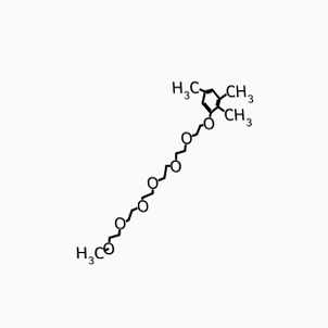 COCCOCCOCCOCCOCCOCCOc1cc(C)cc(C)c1C